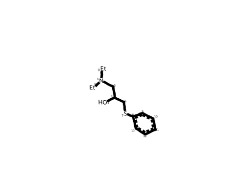 CCN(CC)CC(O)CSc1ccccc1